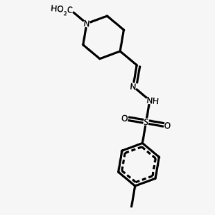 Cc1ccc(S(=O)(=O)NN=CC2CCN(C(=O)O)CC2)cc1